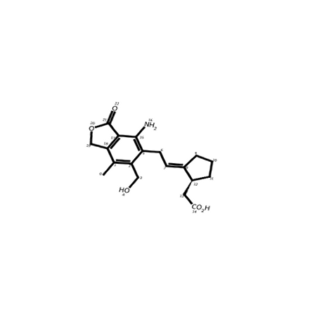 Cc1c(CO)c(CC=C2CCC[C@H]2CC(=O)O)c(N)c2c1COC2=O